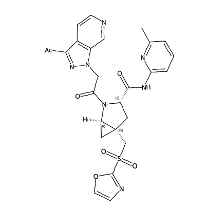 CC(=O)c1nn(CC(=O)N2[C@H](C(=O)Nc3cccc(C)n3)C[C@@]3(CS(=O)(=O)c4ncco4)C[C@@H]23)c2cnccc12